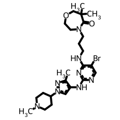 Cc1nn(C2CCN(C)CC2)cc1Nc1ncc(Br)c(NCCCN2CCOCC(C)(C)C2=O)n1